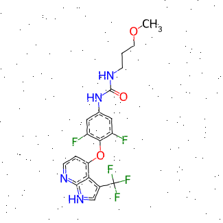 COCCCNC(=O)Nc1cc(F)c(Oc2ccnc3[nH]cc(C(F)(F)F)c23)c(F)c1